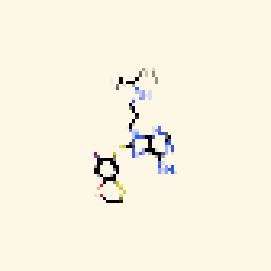 CC(C)NCCCn1c(Sc2cc3c(cc2I)OCCS3)nc2c(N)ncnc21